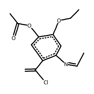 C=C(Cl)c1cc(OC(C)=O)c(OCC)cc1/N=C\C